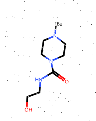 CC(C)(C)N1CCN(C(=O)NCCO)CC1